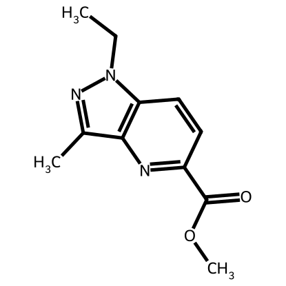 CCn1nc(C)c2nc(C(=O)OC)ccc21